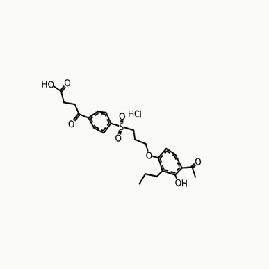 CCCc1c(OCCCS(=O)(=O)c2ccc(C(=O)CCC(=O)O)cc2)ccc(C(C)=O)c1O.Cl